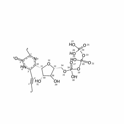 CC#Cc1[nH]c(=O)c(C)nc1[C@@H]1O[C@H](COP(=O)(O)OP(=O)(O)OP(=O)(O)O)C(O)[C@@H]1O